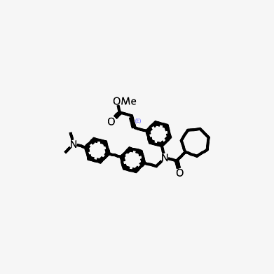 COC(=O)/C=C/c1cccc(N(Cc2ccc(-c3ccc(N(C)C)cc3)cc2)C(=O)C2CCCCCC2)c1